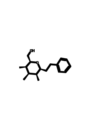 C[C@H]1[C@@H](C)[C@@H](CO)O[C@@H](CCc2ccccc2)[C@H]1C